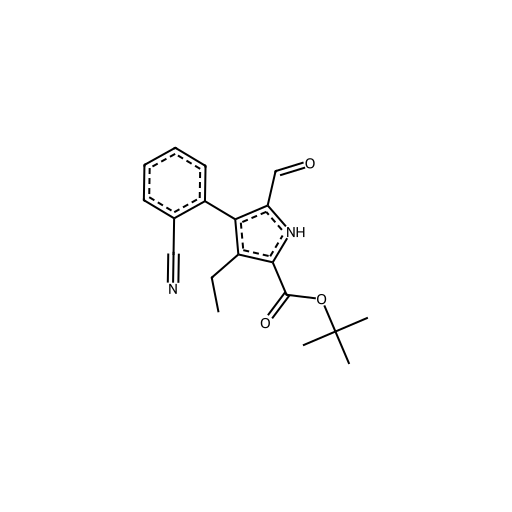 CCc1c(C(=O)OC(C)(C)C)[nH]c(C=O)c1-c1ccccc1C#N